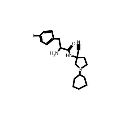 N#CC1(NC(=O)C(N)Cc2ccc(I)cc2)CCN(C2CCCCC2)C1